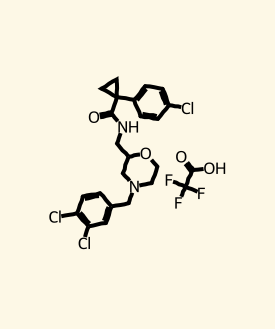 O=C(NCC1CN(Cc2ccc(Cl)c(Cl)c2)CCO1)C1(c2ccc(Cl)cc2)CC1.O=C(O)C(F)(F)F